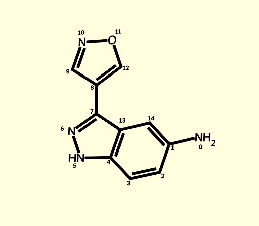 Nc1ccc2[nH]nc(-c3cnoc3)c2c1